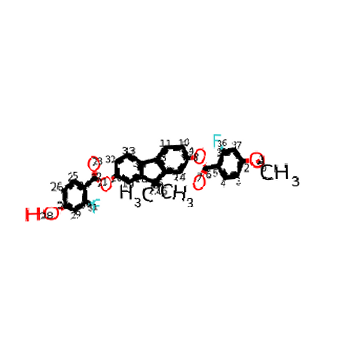 COc1ccc(C(=O)Oc2ccc3c(c2)C(C)(C)c2cc(OC(=O)c4ccc(O)cc4F)ccc2-3)c(F)c1